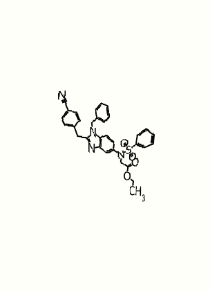 CCOC(=O)CN(c1ccc2c(c1)nc(Cc1ccc(C#N)cc1)n2Cc1ccccc1)S(=O)(=O)c1ccccc1